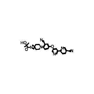 CC(C)(O)C(=O)N1CC2(CCN(c3ccc(Oc4cncc(-c5ccc(C#N)cn5)c4)cc3C#N)CC2)C1